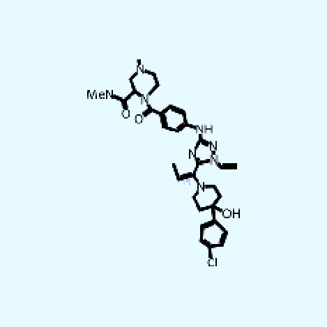 C=Cn1nc(Nc2ccc(C(=O)N3CCN(C)CC3C(=O)NC)cc2)nc1/C(=C\C)N1CCC(O)(c2ccc(Cl)cc2)CC1